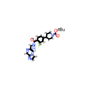 CC(C)(C)OC(=O)N1CCC(c2ccc(C(=O)NCc3cn4ccnc4cn3)c(F)c2)CC1